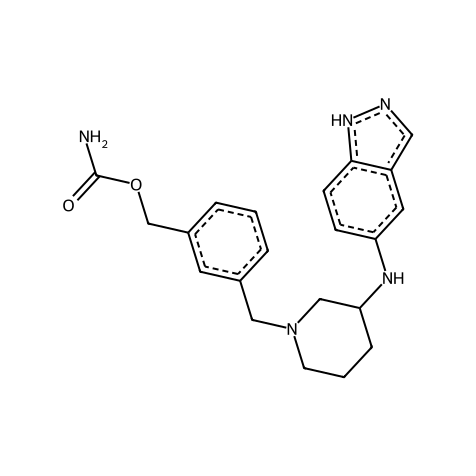 NC(=O)OCc1cccc(CN2CCCC(Nc3ccc4[nH]ncc4c3)C2)c1